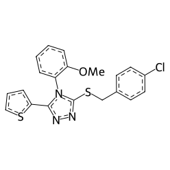 COc1ccccc1-n1c(SCc2ccc(Cl)cc2)nnc1-c1cccs1